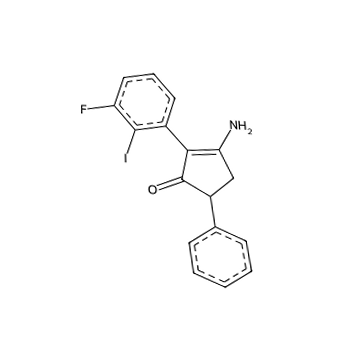 NC1=C(c2cccc(F)c2I)C(=O)C(c2ccccc2)C1